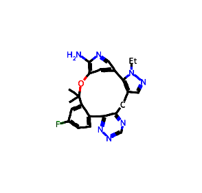 CCn1ncc2c1-c1cnc(N)c(c1)OC(C)(C)c1cc(F)ccc1-c1nncnc1C2